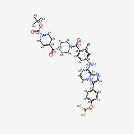 Cc1cc(Nc2nccn3c(-c4ccc(OC(F)F)cc4)cnc23)ccc1C(=O)N1CCN(C(=O)C2CCN(C(=O)OC(C)(C)C)CC2)CC1